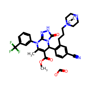 COC(=O)C1=C(C)N(c2cccc(C(F)(F)F)c2)c2n[nH]c(=O)n2C1c1ccc(C#N)cc1CCC[N+]12CCN(CC1)CC2.O=C[O-]